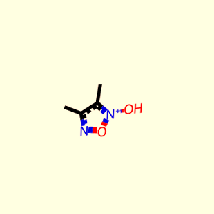 Cc1no[n+](O)c1C